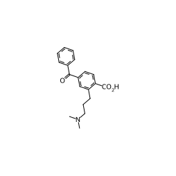 CN(C)CCCc1cc(C(=O)c2ccccc2)ccc1C(=O)O